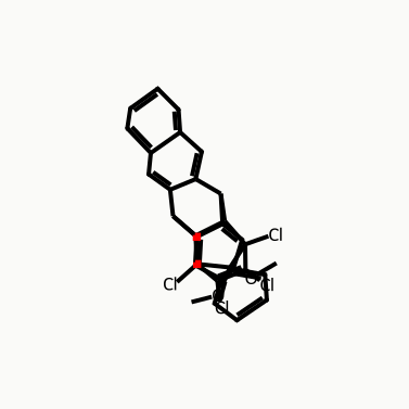 COC1(OC)C2(Cl)C(Cl)=C(Cl)C1(Cl)C1C3c4cc5ccccc5cc4C(c4cc5ccccc5cc43)C12